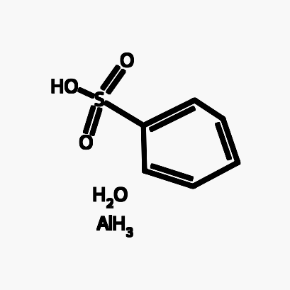 O.O=S(=O)(O)c1ccccc1.[AlH3]